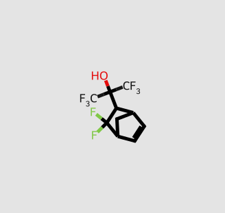 OC(C1C2C=CC(C2)C1(F)F)(C(F)(F)F)C(F)(F)F